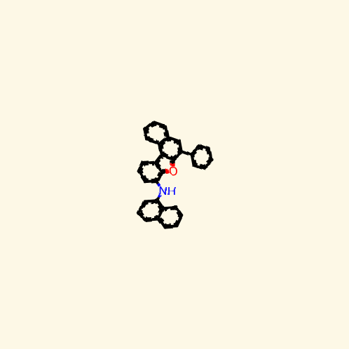 c1ccc(-c2cc3ccccc3c3c2oc2c(Nc4cccc5ccccc45)cccc23)cc1